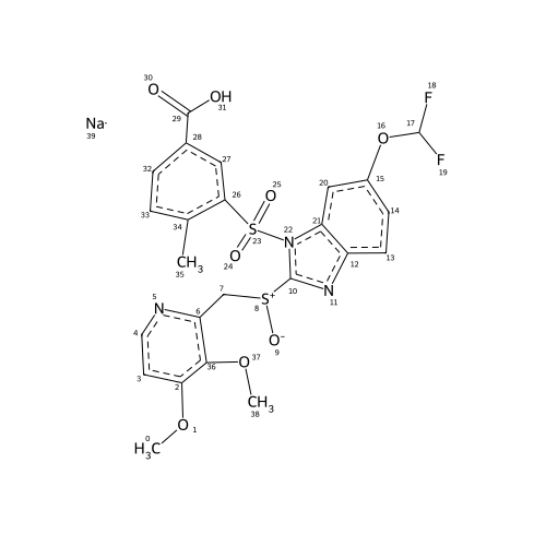 COc1ccnc(C[S+]([O-])c2nc3ccc(OC(F)F)cc3n2S(=O)(=O)c2cc(C(=O)O)ccc2C)c1OC.[Na]